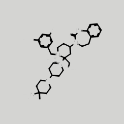 CC1(N)CCN(C2CCN(C3(CC=O)CC(N4CCc5ccccc5NC4=O)CC[N@+]3(Cc3cc(C(F)(F)F)cc(C(F)(F)F)c3)C(=O)[O-])CC2)CC1